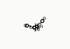 CO[C@H]1CC[C@@H](SCc2nc3cc(OCC4CCOCC4)cc(F)c3c(=O)[nH]2)CC1